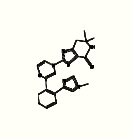 Cn1cnc(C2=C(C3=CN(c4nc5c(s4)C(=O)NC(C)(C)C5)C=CO3)CCC=C2)c1